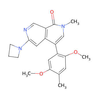 COc1cc(-c2cn(C)c(=O)c3cnc(N4CCC4)cc23)c(OC)cc1C